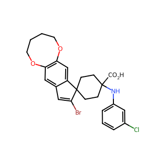 O=C(O)C1(Nc2cccc(Cl)c2)CCC2(CC1)C(Br)=Cc1cc3c(cc12)OCCCCO3